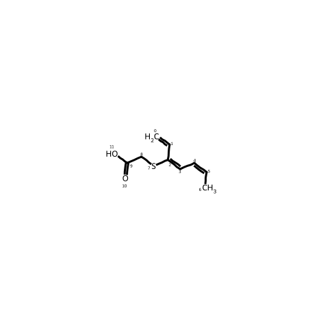 C=C/C(=C\C=C/C)SCC(=O)O